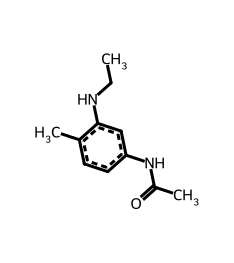 CCNc1cc(NC(C)=O)ccc1C